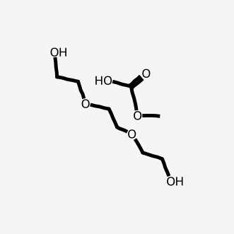 COC(=O)O.OCCOCCOCCO